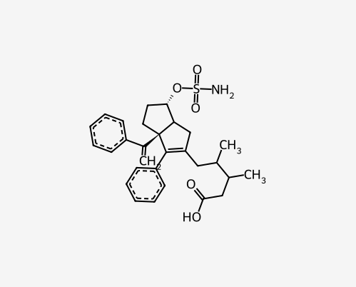 C=C(c1ccccc1)[C@@]12CC[C@H](OS(N)(=O)=O)C1CC(CC(C)C(C)CC(=O)O)=C2c1ccccc1